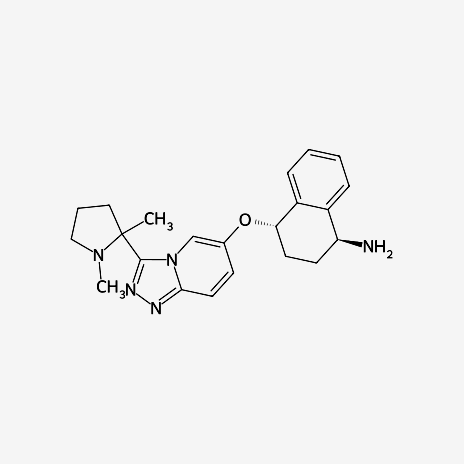 CN1CCCC1(C)c1nnc2ccc(O[C@H]3CC[C@H](N)c4ccccc43)cn12